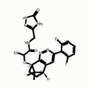 CCC(O[C@@]12CC[C@@H](c3cc(-c4c(F)cccc4F)nnc31)C2(C)C)C(=O)NCc1n[nH]c(=O)[nH]1